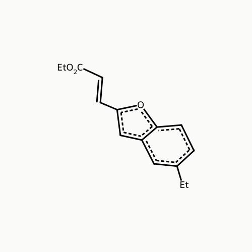 CCOC(=O)C=Cc1cc2cc(CC)ccc2o1